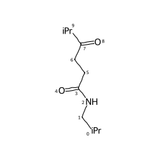 CC(C)CNC(=O)CCC(=O)C(C)C